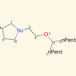 CCCCCC(CCCCC)OCCN1CCCC1